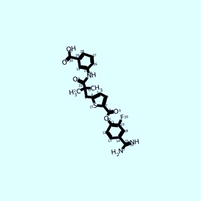 CC(C)(Cc1ccc(C(=O)Oc2ccc(C(=N)N)cc2F)s1)C(=O)Nc1cccc(C(=O)O)c1